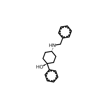 O[C@]1(c2ccccc2)CC[C@@H](NCc2ccccc2)CC1